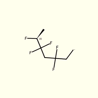 [CH2]CC(F)(F)CC(F)(F)[C@H](C)F